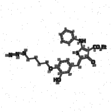 CCOC(=O)C1=C(Nc2ccccc2)S/C(=C\c2ccc(OCCCCN=[N+]=[N-])c(O)c2)C1=O